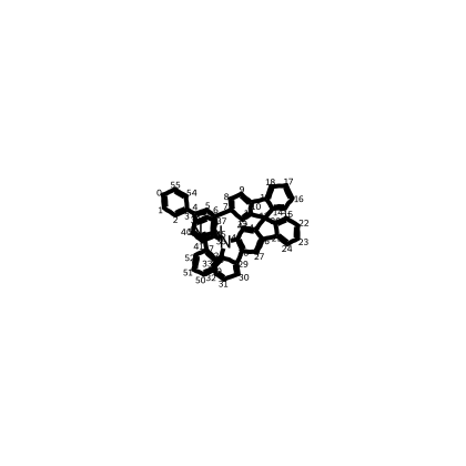 c1ccc(-c2cc(-c3ccc4c(c3)C3(c5ccccc5-4)c4ccccc4-c4cc5c6ccccc6n(-c6ccccc6)c5cc43)nc(-c3ccccc3)n2)cc1